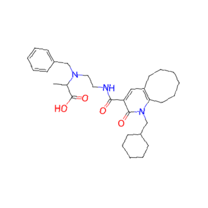 CC(C(=O)O)N(CCNC(=O)c1cc2c(n(CC3CCCCC3)c1=O)CCCCCC2)Cc1ccccc1